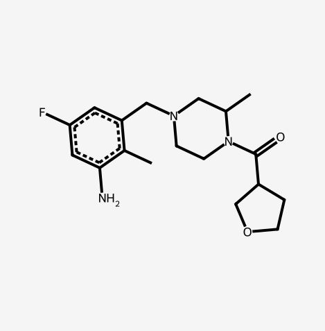 Cc1c(N)cc(F)cc1CN1CCN(C(=O)C2CCOC2)C(C)C1